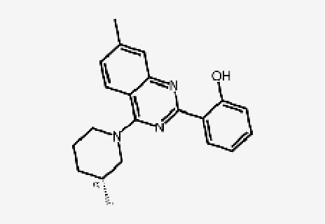 [CH2][C@@H]1CCCN(c2nc(-c3ccccc3O)nc3cc(C)ccc23)C1